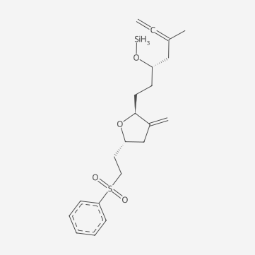 C=C=C(C)C[C@H](CC[C@@H]1O[C@@H](CCS(=O)(=O)c2ccccc2)CC1=C)O[SiH3]